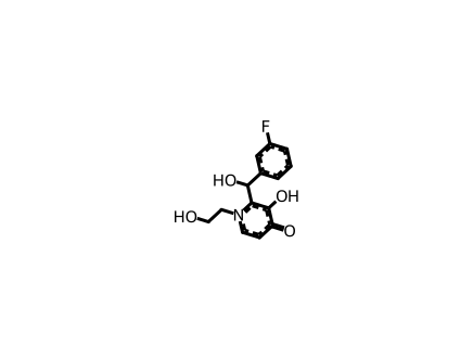 O=c1ccn(CCO)c(C(O)c2cccc(F)c2)c1O